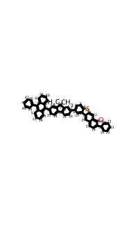 CC1(C)c2cc(-c3ccc4sc5cc6c(ccc7c8ccccc8oc67)cc5c4c3)ccc2-c2ccc(-c3c4ccccc4c(-c4ccccc4)c4ccccc34)cc21